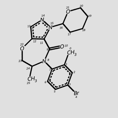 Cc1cc(Br)ccc1N1C(=O)c2c(cnn2C2CCCCO2)OCC1C